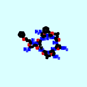 CC(C)C[C@@H]1NC(=O)[C@H](CCN)NC(=O)[C@H](CCN)NC(=O)[C@H](CC(C)C)NC(=O)[C@@H](Cc2ccccc2)NC(=O)[C@H](CCN)NC(=O)[C@@H](NC(=O)[C@@H](CCN)NC(=O)CCCOc2ccccc2)CCNC1=O